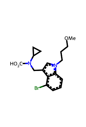 COCCCn1cc(CN(C(=O)O)C2CC2)c2c(Br)cccc21